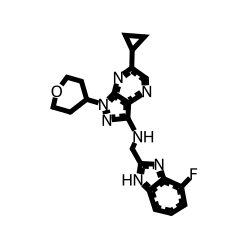 Fc1cccc2[nH]c(CNc3nn(C4CCOCC4)c4nc(C5CC5)cnc34)nc12